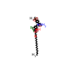 CCCCCCCCCCCCCCCCOCCCOP(=O)(O)C(F)(F)c1ccc(CN(C=O)/C(=C\N)c2ccc(S(C)(=O)=O)cc2)cc1Br